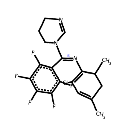 CC1=CC(Cl)=C(/N=C(\c2c(F)c(F)c(F)c(F)c2F)N2C=NCCC2)C(C)C1